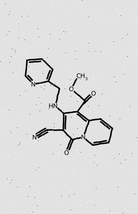 COC(=O)c1c(NCc2ccccn2)c(C#N)c(=O)n2ccccc12